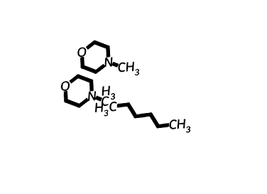 CCCCCC.CN1CCOCC1.CN1CCOCC1